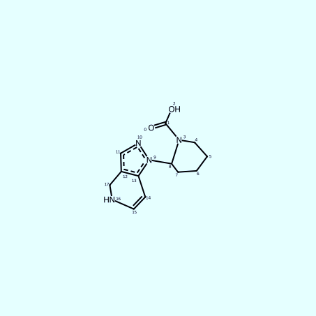 O=C(O)N1CCCCC1n1ncc2c1C=CNC2